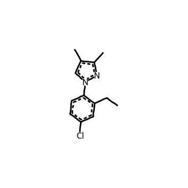 CCc1cc(Cl)ccc1-n1cc(C)c(C)n1